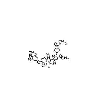 C=CC(=O)N1CCC(c2nc3c(Nc4ccc(Oc5ccc6c(c5)ncn6C)c(C)c4)ncnc3cc2OC)CC1